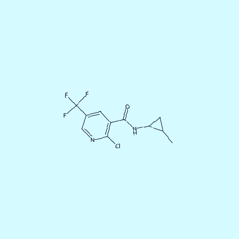 CC1CC1NC(=O)c1cc(C(F)(F)F)cnc1Cl